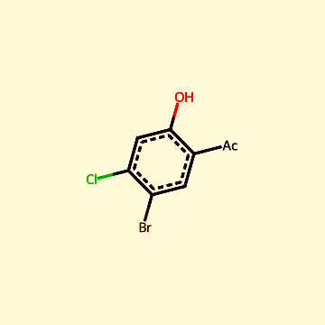 CC(=O)c1cc(Br)c(Cl)cc1O